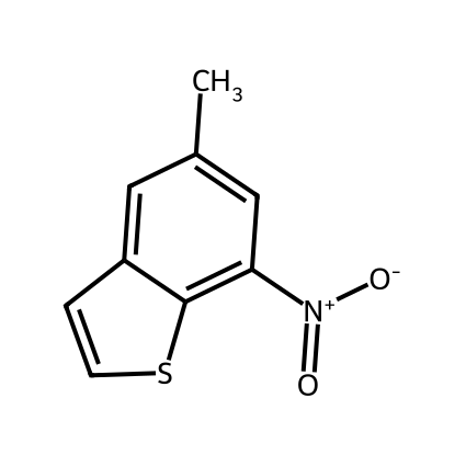 Cc1cc([N+](=O)[O-])c2sccc2c1